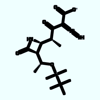 C[C@@H](O[Si](C)(C)C(C)(C)C)[C@H]1C(=O)N[C@@H]1[C@@H](C)C(=O)C(=[N+]=N)C(=O)[O-]